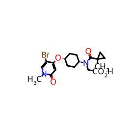 Cn1cc(Br)c(O[C@H]2CC[C@H](N(CC(=O)O)C(=O)C3(C)CC3)CC2)cc1=O